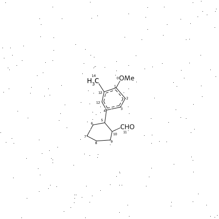 COc1ccc(C2CCCCC2C=O)cc1C